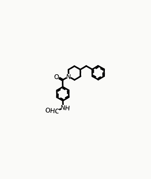 O=CNc1ccc(C(=O)N2CCC(Cc3ccccc3)CC2)cc1